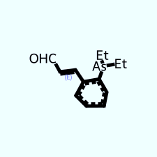 CC[As](CC)c1ccccc1/C=C/C=O